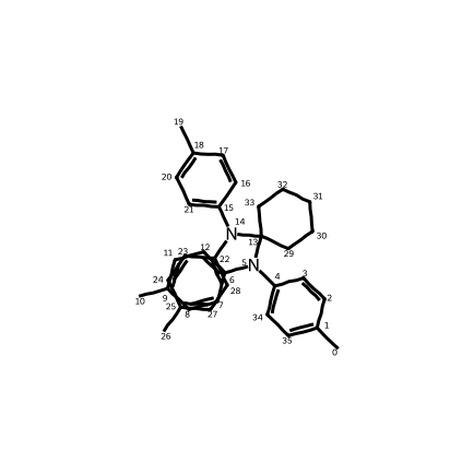 Cc1ccc(N(c2ccc(C)cc2)C2(N(c3ccc(C)cc3)c3ccc(C)cc3)CCCCC2)cc1